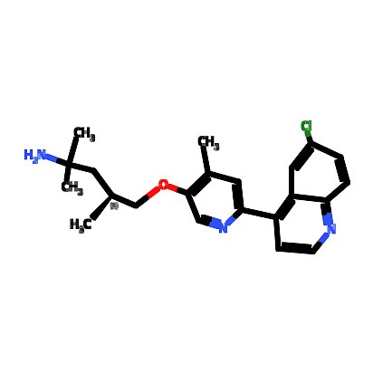 Cc1cc(-c2ccnc3ccc(Cl)cc23)ncc1OC[C@@H](C)CC(C)(C)N